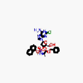 C[C@H](NP(=O)(Oc1cccc2ccccc12)OC1C[C@H](n2cnc3c(N)nc(Cl)nc32)O[C@@H]1CO)C(=O)OCc1ccccc1